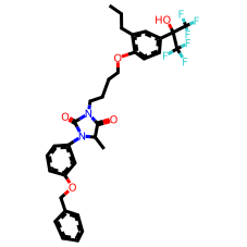 CCCc1cc(C(O)(C(F)(F)F)C(F)(F)F)ccc1OCCCCN1C(=O)C(C)N(c2cccc(OCc3ccccc3)c2)C1=O